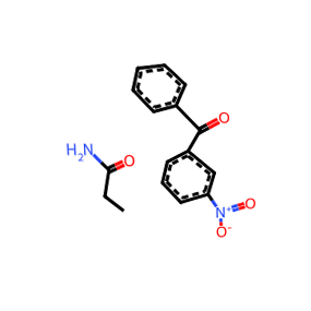 CCC(N)=O.O=C(c1ccccc1)c1cccc([N+](=O)[O-])c1